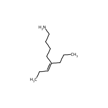 CCC=C(CCC)CCCCN